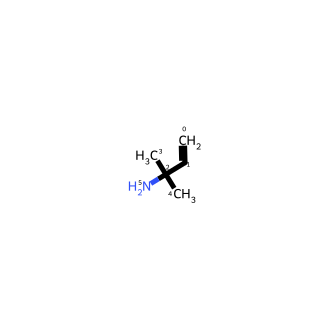 C=CC(C)(C)N